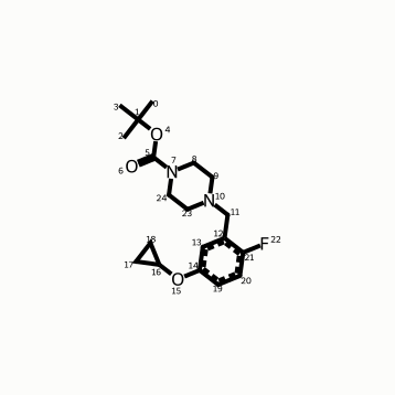 CC(C)(C)OC(=O)N1CCN(Cc2cc(OC3CC3)ccc2F)CC1